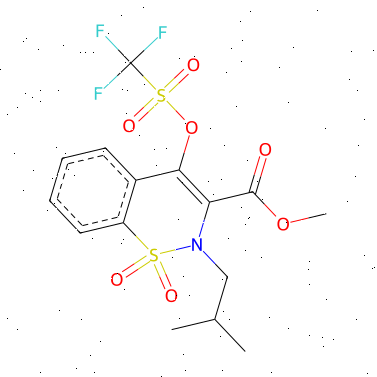 COC(=O)C1=C(OS(=O)(=O)C(F)(F)F)c2ccccc2S(=O)(=O)N1CC(C)C